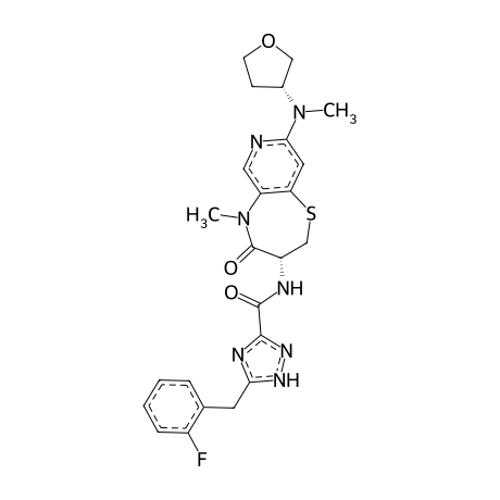 CN1C(=O)[C@@H](NC(=O)c2n[nH]c(Cc3ccccc3F)n2)CSc2cc(N(C)[C@@H]3CCOC3)ncc21